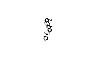 Cc1c(Cc2c(Cl)cccc2Cl)c(=O)oc2cc(OC(=O)N3CCOCC3)ccc12